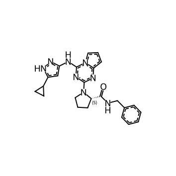 O=C(NCc1ccccc1)[C@@H]1CCCN1c1nc(Nc2cc(C3CC3)[nH]n2)n2cccc2n1